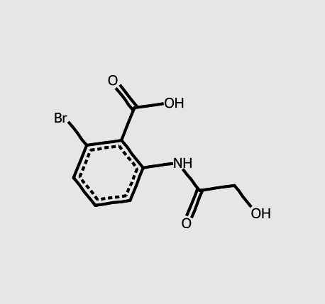 O=C(CO)Nc1cccc(Br)c1C(=O)O